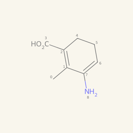 CC1=C(C(=O)O)CCC=C1N